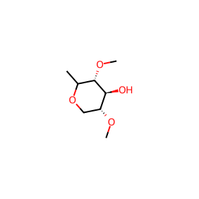 CO[C@@H]1COC(C)[C@H](OC)[C@H]1O